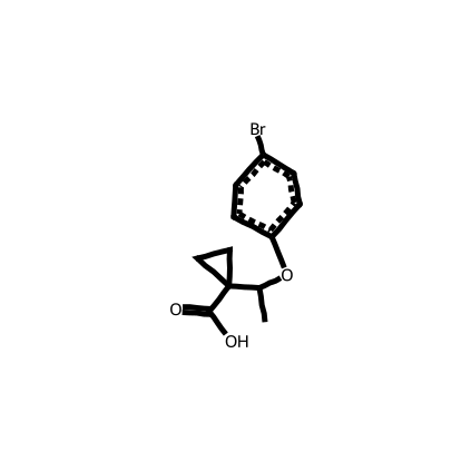 CC(Oc1ccc(Br)cc1)C1(C(=O)O)CC1